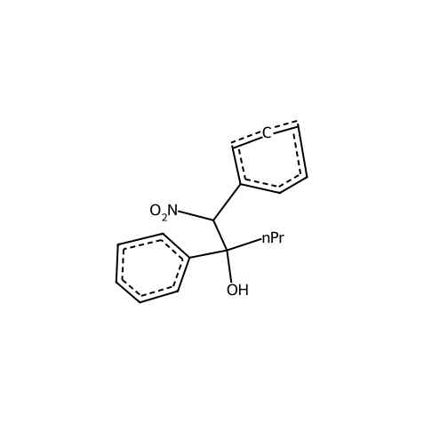 CCCC(O)(c1ccccc1)C(c1ccccc1)[N+](=O)[O-]